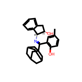 Cc1ccc(O)c(C(=N[C@@H]2c3ccccc3C[C@@H]2O)C23CC4CC(CC(C4)C2)C3)c1